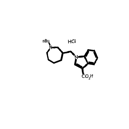 CCCCN1CCCCC(Cn2cc(C(=O)O)c3ccccc32)C1.Cl